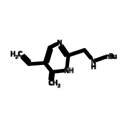 C=CC1=CN=C(CNCCCC)NC1=C